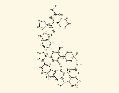 COC(=O)N[C@H](C(=O)N1CCC[C@H]1c1nc2cc([C@H]3CC[C@H](c4ccc5[nH]c([C@@H]6CCCN6C(=O)[C@@H](NC(=O)OC)C6CCOCC6)nc5c4)N3c3cc(F)c(N4CCC(C)(C)CC4)c(F)c3)ccc2[nH]1)C1CCOCC1